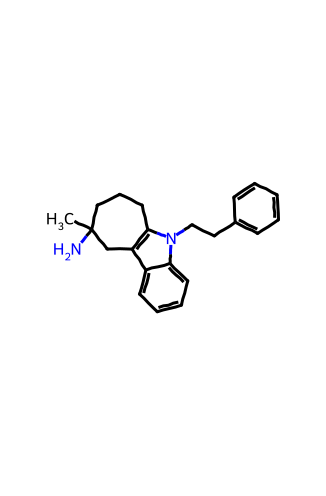 CC1(N)CCCc2c(c3ccccc3n2CCc2ccccc2)C1